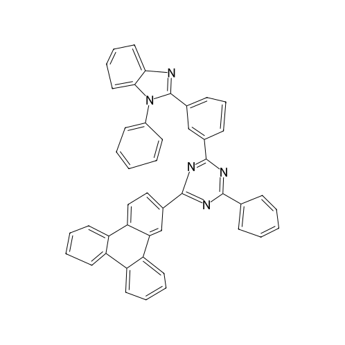 c1ccc(-c2nc(-c3cccc(-c4nc5ccccc5n4-c4ccccc4)c3)nc(-c3ccc4c5ccccc5c5ccccc5c4c3)n2)cc1